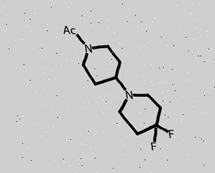 CC(=O)N1CCC(N2CCC(F)(F)CC2)CC1